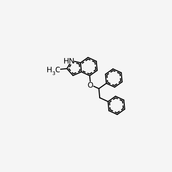 Cc1cc2c(OC(Cc3ccccc3)c3ccccc3)cccc2[nH]1